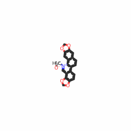 CC(=O)[O-].C[n+]1cc2c3c(ccc2c2ccc4cc5c(cc4c21)OCO5)OCO3